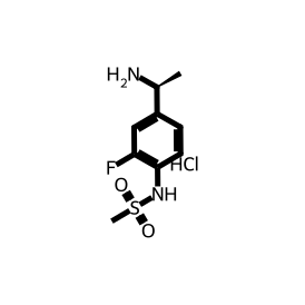 C[C@H](N)c1ccc(NS(C)(=O)=O)c(F)c1.Cl